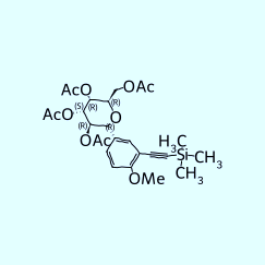 COc1ccc([C@H]2O[C@H](COC(C)=O)[C@@H](OC(C)=O)[C@@H](OC(C)=O)[C@@H]2OC(C)=O)cc1C#C[Si](C)(C)C